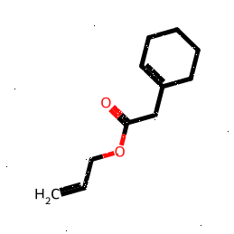 C=CCOC(=O)CC1=CCCCC1